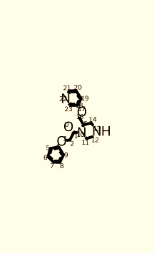 O=C(COc1ccccc1)N1CCNCC1COc1cccnc1